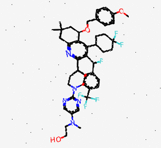 COc1ccc(COC2CC(C)(C)Cc3nc(C4CCN(c5ncc(N(C)CCO)cn5)CC4)c(C(F)c4ccc(C(F)(F)F)cc4)c(C4CCC(F)(F)CC4)c32)cc1